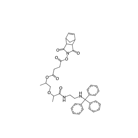 CC(COC(C)C(=O)NCCNC(c1ccccc1)(c1ccccc1)c1ccccc1)OC(=O)CCC(=O)ON1C(=O)C2C3C=CC(C3)C2C1=O